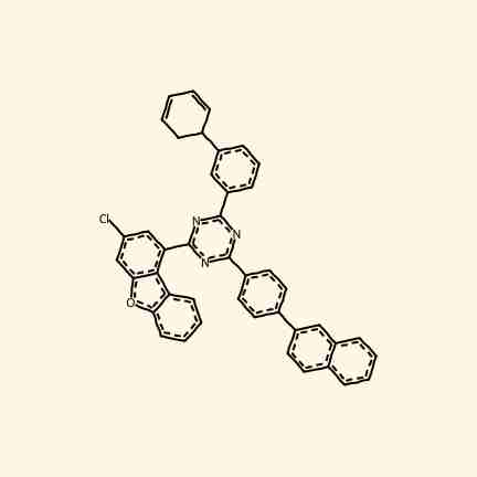 Clc1cc(-c2nc(-c3ccc(-c4ccc5ccccc5c4)cc3)nc(-c3cccc(C4C=CC=CC4)c3)n2)c2c(c1)oc1ccccc12